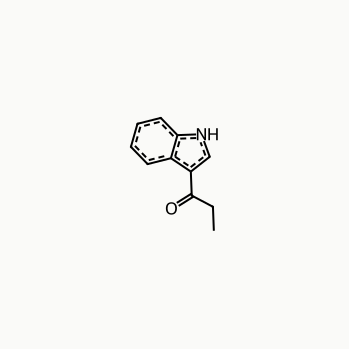 CCC(=O)c1c[nH]c2ccccc12